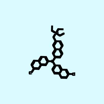 CC[N+](CC)(CC)Cc1ccc2ccc(N(c3ccc4ccc(Cl)cc4c3)c3ccc4ccc(Cl)cc4c3)cc2c1